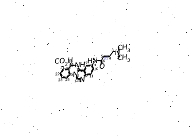 CN(C)C/C=C/C(=O)Nc1ccc2ncnc(N[C@H](C(=O)O)c3ccccc3)c2c1